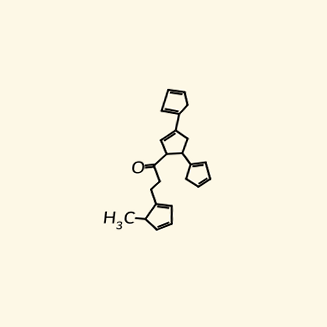 CC1C=CC=C1CCC(=O)C1C=C(C2=CC=CC2)CC1C1=CC=CC1